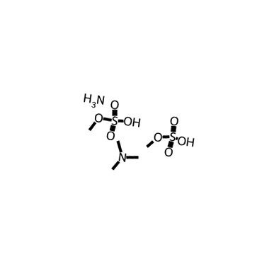 CN(C)C.COS(=O)(=O)O.COS(=O)(=O)O.N